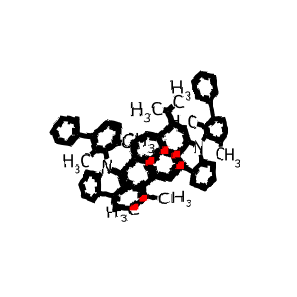 Cc1ccc(-c2ccccc2)c(C)c1N(c1ccccc1-c1ccccc1)c1cc(C(C)C)c2ccc3c(N(c4ccccc4-c4ccccc4)c4c(C)ccc(-c5ccccc5)c4C)cc(C(C)C)c4ccc1c2c43